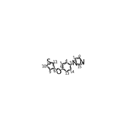 c1cn(-c2ccc(Oc3ccsc3)cc2)cn1